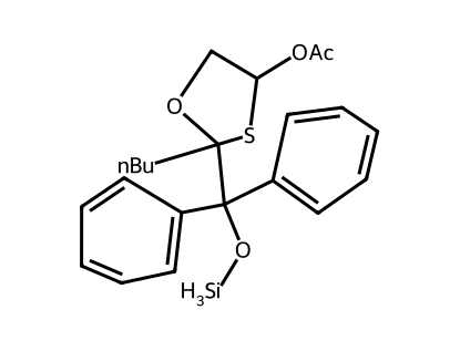 CCCCC1(C(O[SiH3])(c2ccccc2)c2ccccc2)OCC(OC(C)=O)S1